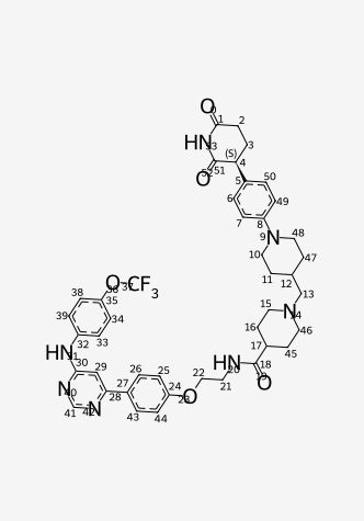 O=C1CC[C@@H](c2ccc(N3CCC(CN4CCC(C(=O)NCCOc5ccc(-c6cc(Nc7ccc(OC(F)(F)F)cc7)ncn6)cc5)CC4)CC3)cc2)C(=O)N1